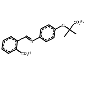 CCOC(=O)C(C)(C)Oc1ccc(/N=C/c2ccccc2C(=O)O)cc1